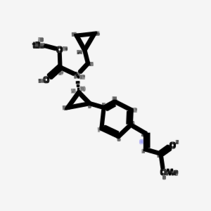 COC(=O)/C=C/c1ccc(C2C[C@@H]2N(CC2CC2)C(=O)OC(C)(C)C)cc1